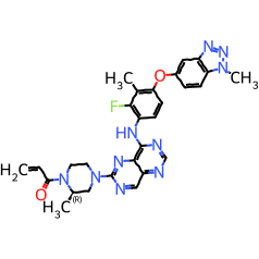 C=CC(=O)N1CCN(c2ncc3ncnc(Nc4ccc(Oc5ccc6c(c5)nnn6C)c(C)c4F)c3n2)C[C@H]1C